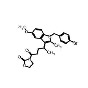 COc1ccc2c(c1)c(C(C)CCC(=O)N1CCOC1=O)c(C)n2Cc1ccc(Br)cc1